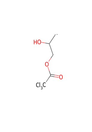 [CH2]C(O)COC(=O)C(Cl)(Cl)Cl